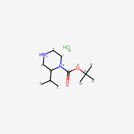 CC(C)C1CNCCN1C(=O)OC(C)(C)C.Cl